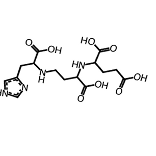 O=C(O)CCC(NC(CCNC(Cc1c[nH]cn1)C(=O)O)C(=O)O)C(=O)O